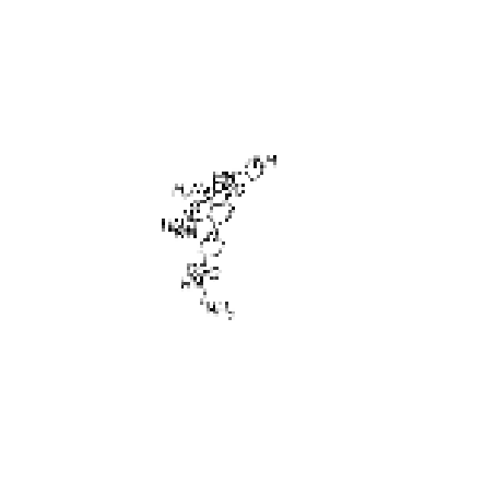 NCCNS(=O)(=O)C1CCN(c2ccc(S(=O)(=O)NC3CCNC3)c(S(N)(=O)=O)c2-c2nn[nH]n2)CC1